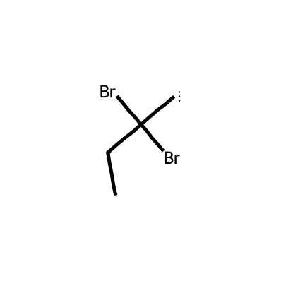 [C]C(Br)(Br)CC